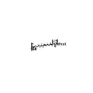 CCCCCNC(=O)NCCCC/C=C/CCCCCCC1NC=NN1